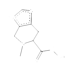 CN1Cc2scnc2CC1C(=O)OC(C)(C)C